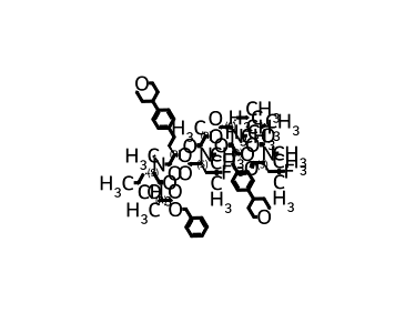 CC(C)C[C@@H](C(=O)O[C@H](C)C(=O)N(C)[C@@H](CC(C)(C)F)C(=O)O[C@H](CCc1ccc(C2CCOCC2)cc1)C(=O)N(C)[C@@H](CC(C)C)C(=O)O[C@H](C)C(=O)OCc1ccccc1)N(C)C(=O)[C@@H](Cc1ccc(C2CCOCC2)cc1)OC(=O)[C@H](CC(C)(C)F)N(C)C(=O)OC(C)(C)C